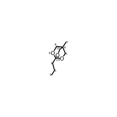 CCCC12OCC(C)(CO1)CO2